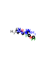 CC(C)NC1(/C=C(\C#N)C(=O)N2CCC[C@@H]2Cn2nc(-c3ccc(Oc4cccc(F)c4F)cc3F)c3c(N)ncnc32)CC1